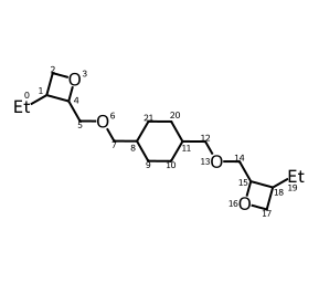 CCC1COC1COCC1CCC(COCC2OCC2CC)CC1